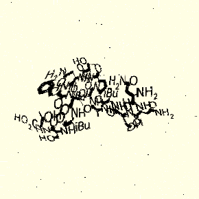 CC[C@H](C)[C@H](NC(=O)[C@H](CO)NC(=O)[C@H](CC(N)=O)NC(=O)[C@@H](N)CC(N)=O)C(=O)N[C@@H](C)C(=O)N[C@H](C(=O)N1CCC[C@H]1C(=O)N[C@H](C(=O)N[C@@H](CC(N)=O)C(=O)N[C@@H](Cc1ccccc1)C(=O)N[C@H](C(=O)N[C@H](C(=O)N[C@@H](CO)C(=O)N[C@H](C(=O)O)[C@@H](C)O)[C@@H](C)CC)[C@@H](C)O)[C@@H](C)O)[C@@H](C)CC